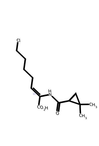 CC1(C)CC1C(=O)N/C(=C\CCCCCl)C(=O)O